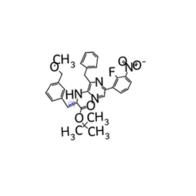 COCc1cccc(/C=C(\Nc2ncc(-c3cccc([N+](=O)[O-])c3F)nc2Cc2ccccc2)C(=O)OC(C)(C)C)c1